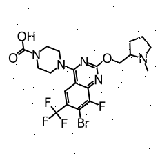 CN1CCCC1COc1nc(N2CCN(C(=O)O)CC2)c2cc(C(F)(F)F)c(Br)c(F)c2n1